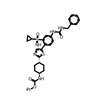 CC(C)OC(=O)N[C@H]1CC[C@H](c2ncc(-c3ccc(NC(=O)NCc4ccccc4)cc3S(=N)(=O)C3CC3)s2)CC1